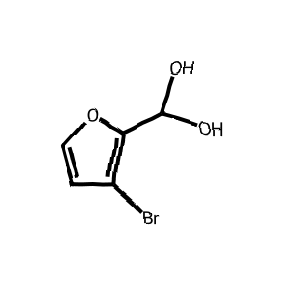 OC(O)c1occc1Br